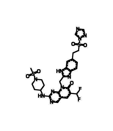 CS(=O)(=O)N1CCC(Nc2ncc3cc(C(F)F)c(=O)n(Cc4nc5ccc(CCS(=O)(=O)n6cncn6)cc5[nH]4)c3n2)CC1